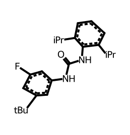 CC(C)c1cccc(C(C)C)c1NC(=O)Nc1cc(F)cc(C(C)(C)C)c1